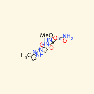 COC(=O)N[C@@H](CC/C=C/C(N)=O)C(=O)Nc1cccn(Cc2nc3c(C)cccc3[nH]2)c1=O